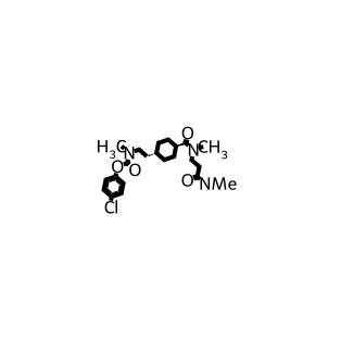 CNC(=O)CCN(C)C(=O)[C@H]1CC[C@H](CCN(C)C(=O)Oc2ccc(Cl)cc2)CC1